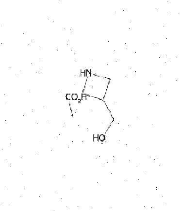 CC(=O)O.OCC1CNC1